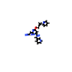 N=C/C=C1/N=C(OC[C@H]2C[C@@H]2c2ccccn2)C=C(NCc2cccnc2)N1